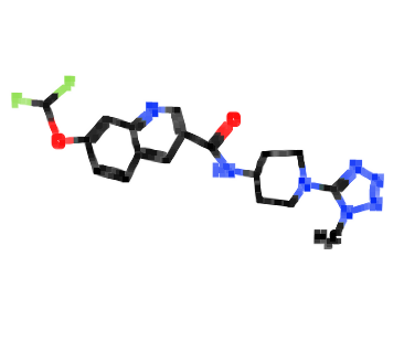 Cn1nnnc1N1CCC(NC(=O)c2cnc3cc(OC(F)F)ccc3c2)CC1